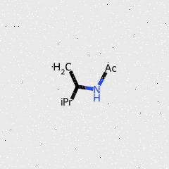 [CH2]C(NC(C)=O)C(C)C